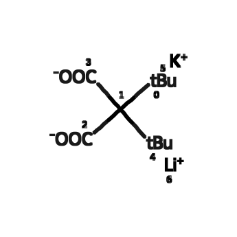 CC(C)(C)C(C(=O)[O-])(C(=O)[O-])C(C)(C)C.[K+].[Li+]